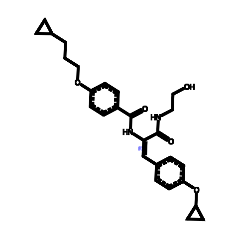 O=C(NCCO)/C(=C\c1ccc(OC2CC2)cc1)NC(=O)c1ccc(OCCCC2CC2)cc1